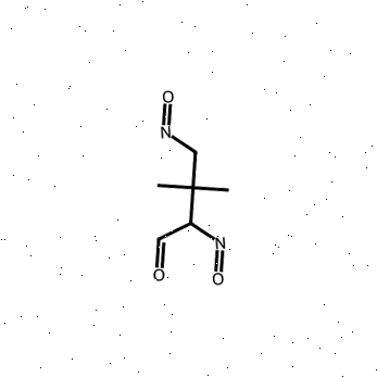 CC(C)(CN=O)C(C=O)N=O